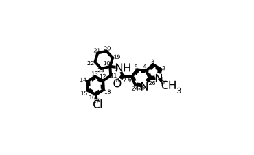 Cn1ccc2cc(C(=O)NC3(Cc4cccc(Cl)c4)CCCCC3)cnc21